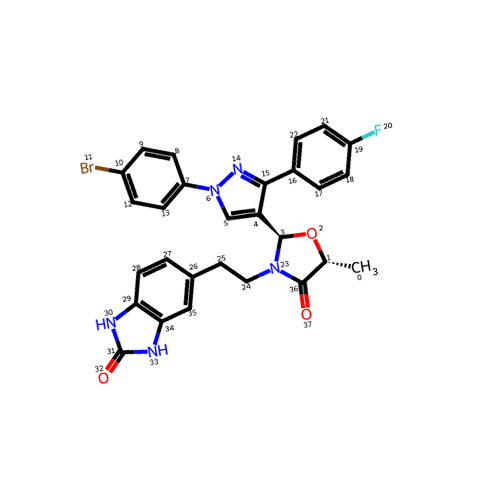 C[C@H]1O[C@H](c2cn(-c3ccc(Br)cc3)nc2-c2ccc(F)cc2)N(CCc2ccc3[nH]c(=O)[nH]c3c2)C1=O